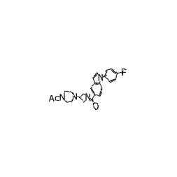 CC(=O)N1CCN(C2CN(C(=O)c3ccc4c(ccn4-c4ccc(F)cc4)c3)C2)CC1